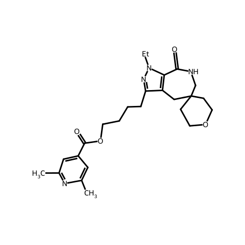 CCn1nc(CCCCOC(=O)c2cc(C)nc(C)c2)c2c1C(=O)NCC1(CCOCC1)C2